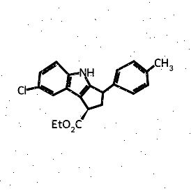 CCOC(=O)[C@@H]1CC(c2ccc(C)cc2)c2[nH]c3ccc(Cl)cc3c21